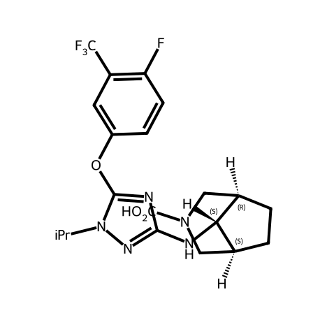 CC(C)n1nc(N[C@@H]2[C@@H]3CC[C@H]2CN(C(=O)O)C3)nc1Oc1ccc(F)c(C(F)(F)F)c1